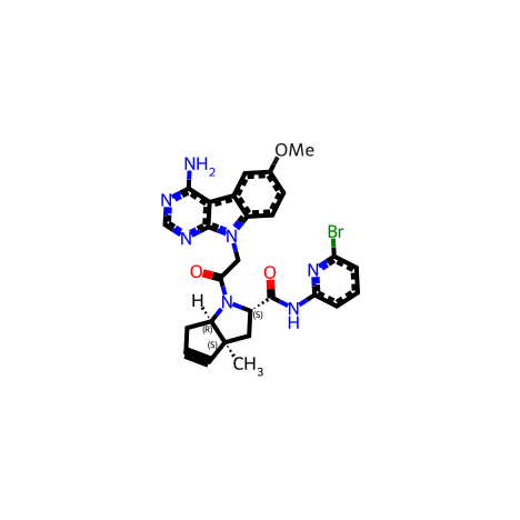 COc1ccc2c(c1)c1c(N)ncnc1n2CC(=O)N1[C@H](C(=O)Nc2cccc(Br)n2)C[C@@]2(C)C#CC[C@@H]12